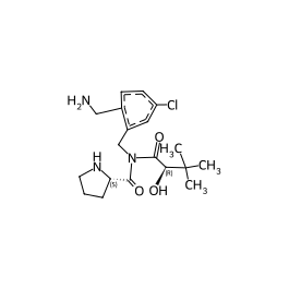 CC(C)(C)[C@@H](O)C(=O)N(Cc1cc(Cl)ccc1CN)C(=O)[C@@H]1CCCN1